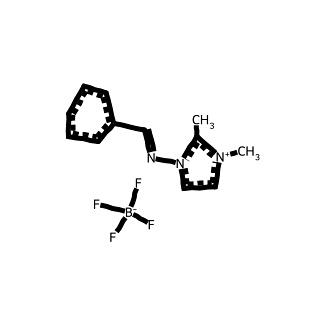 Cc1n(N=Cc2ccccc2)cc[n+]1C.F[B-](F)(F)F